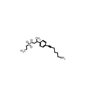 CCCS(=O)(=O)NCC(C)c1ccc(C#CCCCCN)cc1